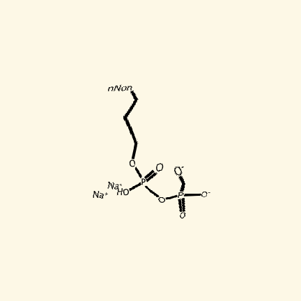 CCCCCCCCCCCCOP(=O)(O)OP(=O)([O-])[O-].[Na+].[Na+]